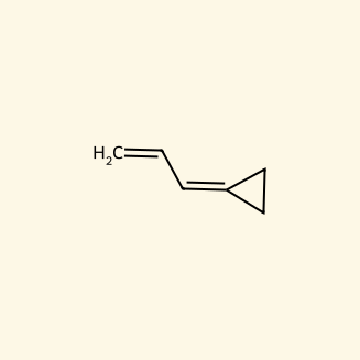 C=CC=C1CC1